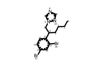 CCCCC(Cn1cncn1)c1ccc(Br)cc1Br